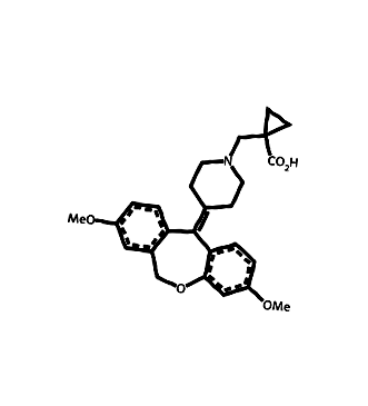 COc1ccc2c(c1)COc1cc(OC)ccc1C2=C1CCN(CC2(C(=O)O)CC2)CC1